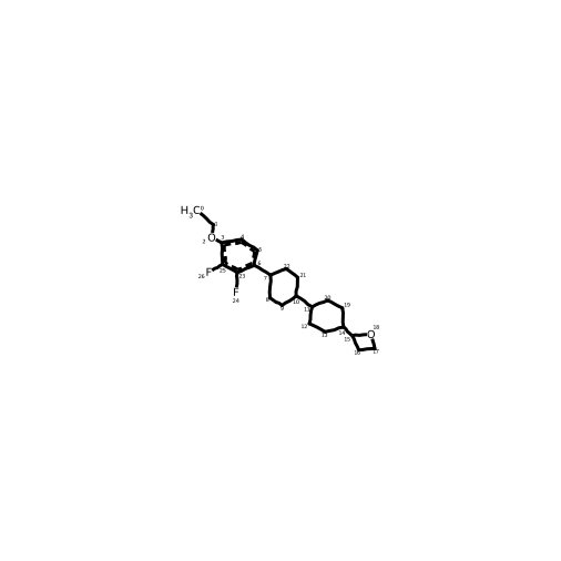 CCOc1ccc(C2CCC(C3CCC(C4CCO4)CC3)CC2)c(F)c1F